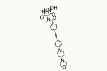 CNC(=O)C(C(=O)NO)N(C)C(=O)c1ccc(C#Cc2ccc(N3CCC(N4CCOCC4)CC3)cc2)cc1